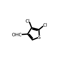 O=Cc1csc(Cl)c1Cl